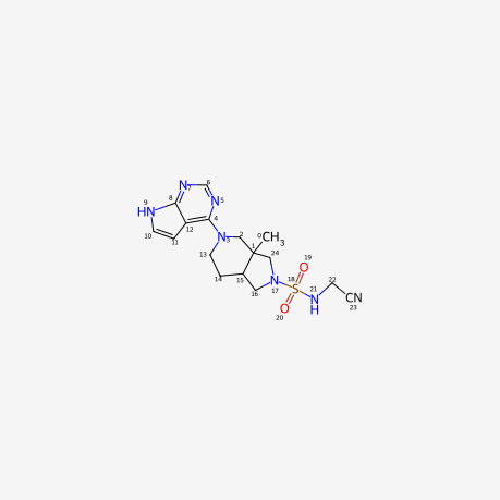 CC12CN(c3ncnc4[nH]ccc34)CCC1CN(S(=O)(=O)NCC#N)C2